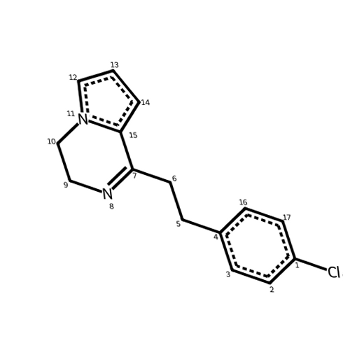 Clc1ccc(CCC2=NCCn3cccc32)cc1